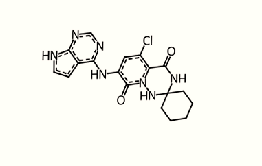 O=C1NC2(CCCCC2)Nn2c1c(Cl)cc(Nc1ncnc3[nH]ccc13)c2=O